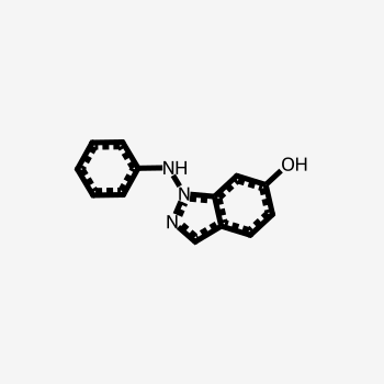 Oc1ccc2cnn(Nc3ccccc3)c2c1